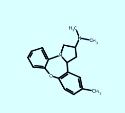 Cc1ccc2c(c1)C1CC(N(C)C)CN1c1ccccc1O2